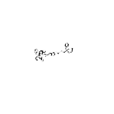 CC(C)(C=O)CCCCOCCCCC1(C=O)CCCC1